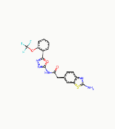 Nc1nc2ccc(CC(=O)Nc3nnc(-c4ccccc4OC(F)(F)F)o3)cc2s1